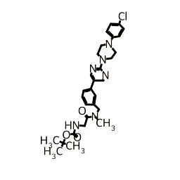 CN(Cc1cccc(-c2cnc(N3CCN(c4ccc(Cl)cc4)CC3)nc2)c1)C(=O)CNC(=O)OC(C)(C)C